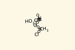 CN(c1ccc(Cl)cc1)c1ccc(C(=O)c2ccc(-n3cc(-c4ccccc4)nn3)c(C(=O)O)c2)cc1